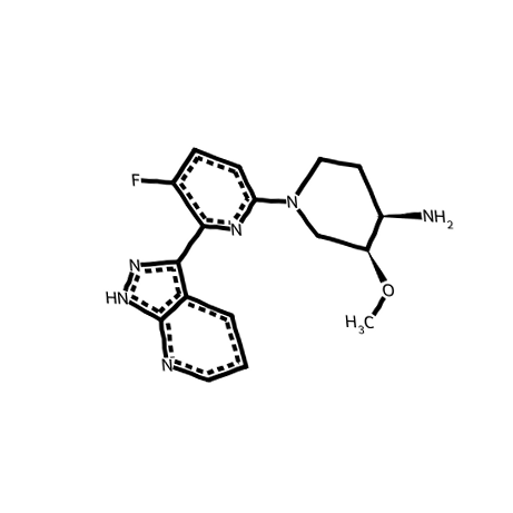 CO[C@H]1CN(c2ccc(F)c(-c3n[nH]c4ncccc34)n2)CC[C@H]1N